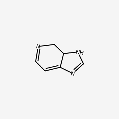 C1=NCC2NC=NC2=C1